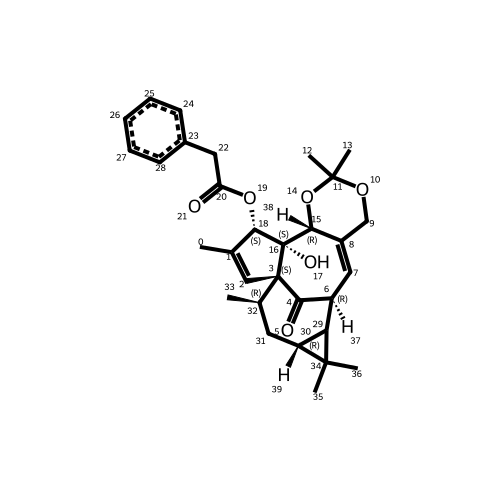 CC1=C[C@]23C(=O)[C@@H](C=C4COC(C)(C)O[C@H]4[C@]2(O)[C@H]1OC(=O)Cc1ccccc1)C1[C@@H](C[C@H]3C)C1(C)C